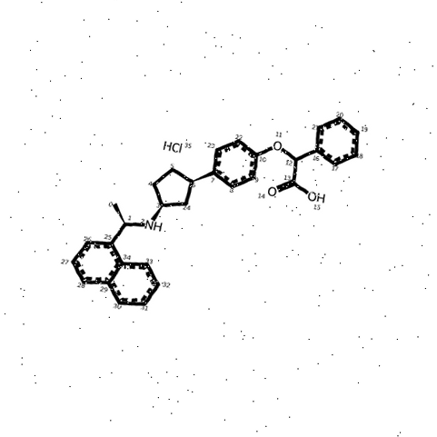 C[C@@H](N[C@H]1CC[C@@H](c2ccc(OC(C(=O)O)c3ccccc3)cc2)C1)c1cccc2ccccc12.Cl